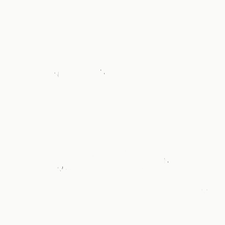 CO[Si](CCCN=C=O)(CCCN=C=O)CCCN=C=O